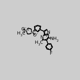 Cc1nc2c(-c3cccc([N+]4([O-])CC[N+](C)([O-])CC4)c3)cnn2c(N)c1-c1ccc(F)cc1